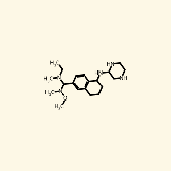 CCN(C)C(c1ccc2c(c1)CCCC2NC1CNCCN1)N(C)OC